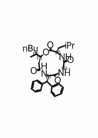 CCCC[C@H](C)[C@@H]1CC(=O)N[C@H](C(c2ccccc2)c2ccccc2)C(=O)N[C@@H](C)C(=O)N[C@H](CC(C)C)C(=O)O1